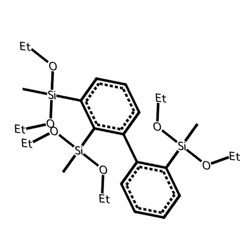 CCO[Si](C)(OCC)c1ccccc1-c1cccc([Si](C)(OCC)OCC)c1[Si](C)(OCC)OCC